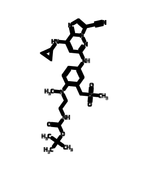 CN(CCNC(=O)OC(C)(C)C)c1ccc(Nc2cc(NC3CC3)c3ncc(C#N)n3n2)cc1CS(C)(=O)=O